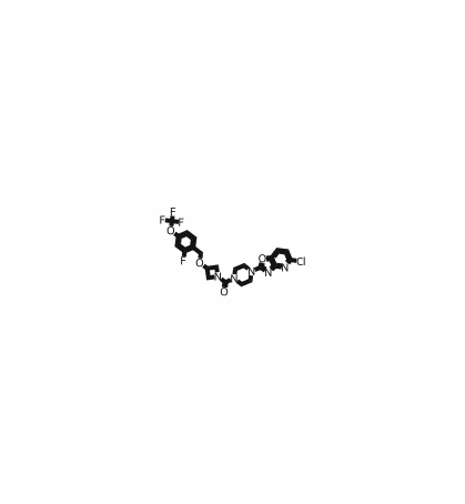 O=C(N1CCN(c2nc3nc(Cl)ccc3o2)CC1)N1CC(OCc2ccc(OC(F)(F)F)cc2F)C1